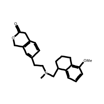 COc1cccc2c1CCCC2CN(C)CCc1ccc2c(c1)COC(=O)C2